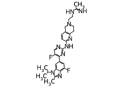 CC(=N)NCCN1CCc2nc(Nc3ncc(F)c(-c4cc(F)c5nc(C)n(C(C)C)c5c4)n3)ccc2C1